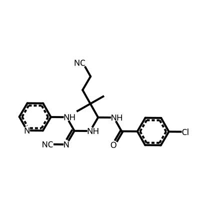 CC(C)(CCC#N)C(NC(=O)c1ccc(Cl)cc1)NC(=NC#N)Nc1cccnc1